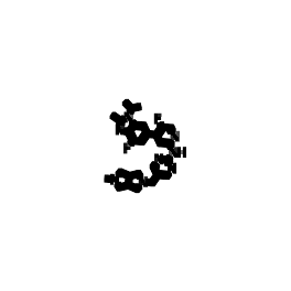 Cc1nc2c(F)cc(-c3cc(Nc4ncc(CN5CC6CN(C)CC6C5)cn4)ncc3F)cc2n1C(C)C